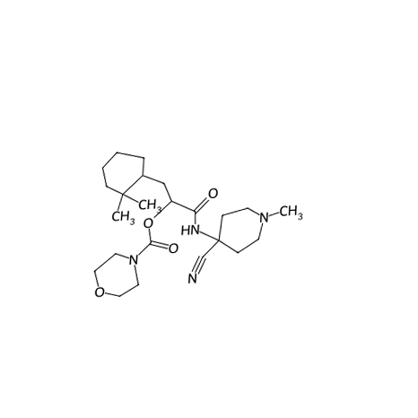 CN1CCC(C#N)(NC(=O)C(CC2CCCCC2(C)C)OC(=O)N2CCOCC2)CC1